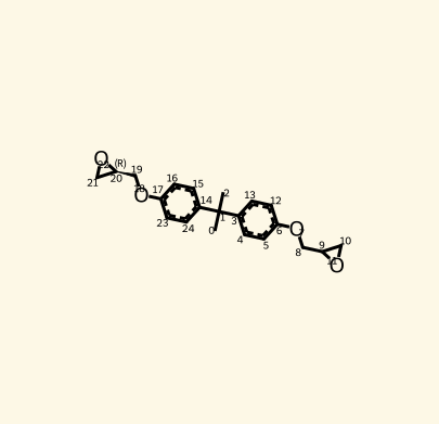 CC(C)(c1ccc(OCC2CO2)cc1)c1ccc(OC[C@H]2CO2)cc1